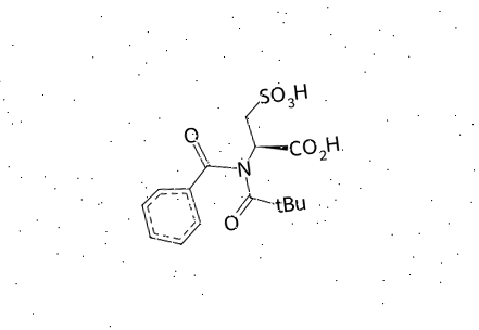 CC(C)(C)C(=O)N(C(=O)c1ccccc1)[C@@H](CS(=O)(=O)O)C(=O)O